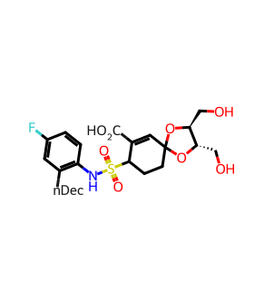 CCCCCCCCCCc1cc(F)ccc1NS(=O)(=O)C1CCC2(C=C1C(=O)O)O[C@@H](CO)[C@H](CO)O2